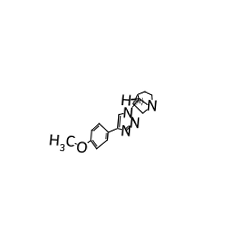 COc1ccc(-c2cn([C@H]3CN4CCC3CC4)nn2)cc1